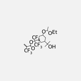 C=C(C(=O)OC(C1CC(OC(C)OCC)CC(C(C)(C)O)C1)(C(F)(F)F)C(F)(F)F)C(F)(F)F